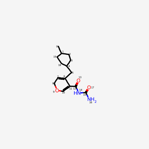 CC1CCC(CC2=CCOC=C2C(=O)NC(N)=O)CC1